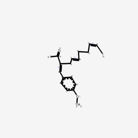 COc1ccc(/C=C(\C/C=C/CC/C=C\I)C(=O)I)cc1